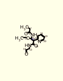 CCO/C(NC(=O)CC)=C(\C(=O)NC[C]=O)c1ccccn1